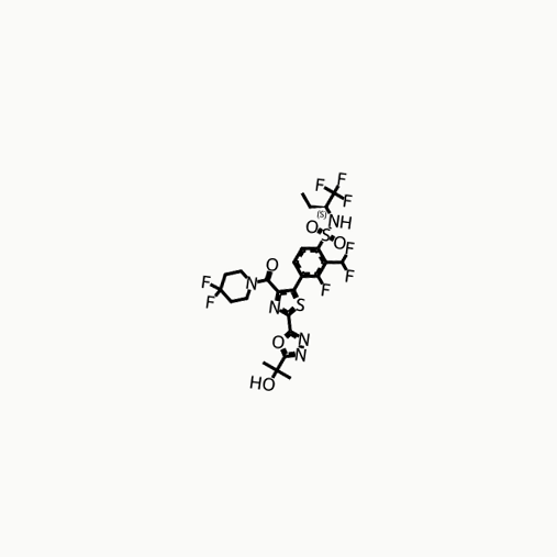 CC[C@H](NS(=O)(=O)c1ccc(-c2sc(-c3nnc(C(C)(C)O)o3)nc2C(=O)N2CCC(F)(F)CC2)c(F)c1C(F)F)C(F)(F)F